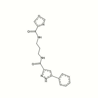 O=C(NCCCNC(=O)c1cc(-c2ccccc2)[nH]n1)c1cocn1